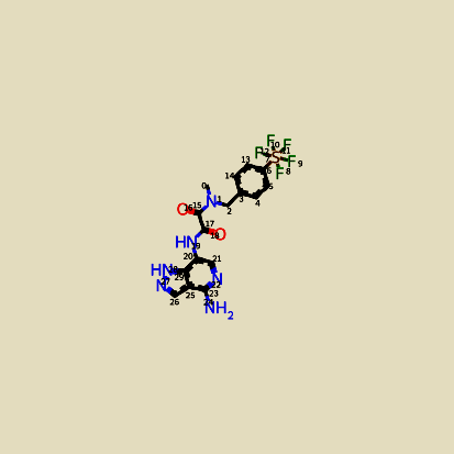 CN(Cc1ccc(S(F)(F)(F)(F)F)cc1)C(=O)C(=O)Nc1cnc(N)c2cn[nH]c12